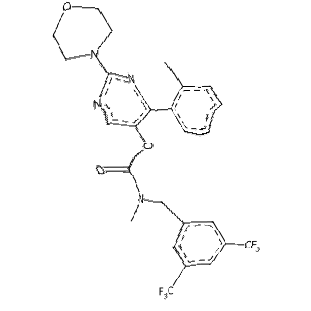 Cc1ccccc1-c1nc(N2CCOCC2)ncc1OC(=O)N(C)Cc1cc(C(F)(F)F)cc(C(F)(F)F)c1